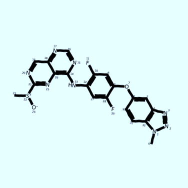 Cn1nnc2cc(Oc3cc(F)c(Nc4ncnc5cnc([S+](C)[O-])nc45)cc3F)ccc21